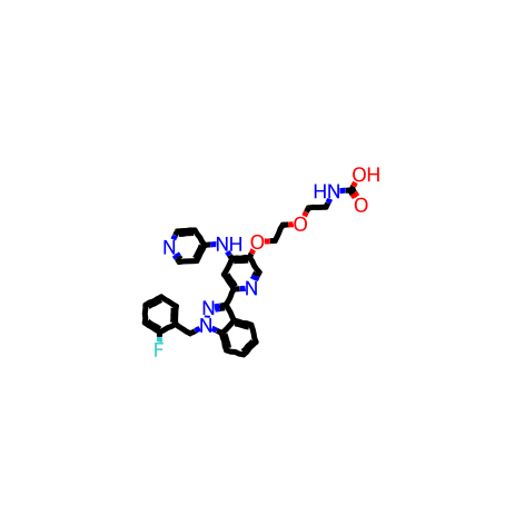 O=C(O)NCCOCCOc1cnc(-c2nn(Cc3ccccc3F)c3ccccc23)cc1Nc1ccncc1